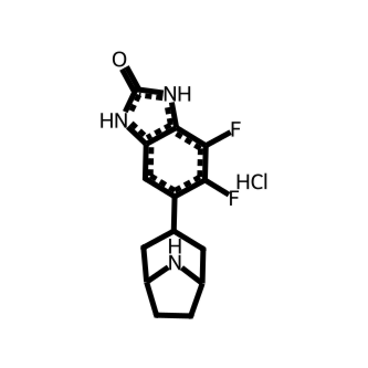 Cl.O=c1[nH]c2cc(C3CC4CCC(C3)N4)c(F)c(F)c2[nH]1